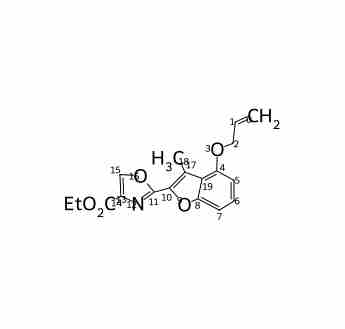 C=CCOc1cccc2oc(-c3nc(C(=O)OCC)co3)c(C)c12